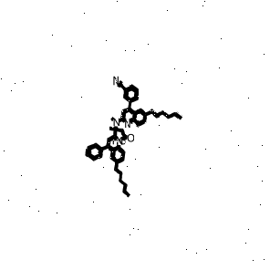 CCCCCCc1ccc2nc(N(C)C(C)(CC(=O)O)c3cc(-c4ccccc4)c4cc(CCCCCC)ccc4n3)cc(-c3cccc(C#N)c3)c2c1